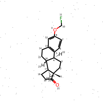 C[C@]12CC[C@@H]3c4ccc(OCF)cc4CC[C@H]3[C@@H]1CCC2=O